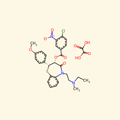 CCN(C)CCN1C(=O)[C@@H](OC(=O)c2ccc(Cl)c([N+](=O)[O-])c2)[C@@H](c2ccc(OC)cc2)Sc2ccccc21.O=C(O)C(=O)O